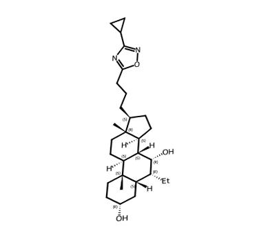 CC[C@H]1[C@@H](O)[C@@H]2[C@H](CC[C@]3(C)[C@@H](CCCc4nc(C5CC5)no4)CC[C@@H]23)[C@@]2(C)CC[C@@H](O)C[C@@H]12